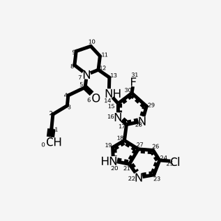 C#CCCCC(=O)N1CCCCC1CNc1nc(-c2c[nH]c3ncc(Cl)cc23)ncc1F